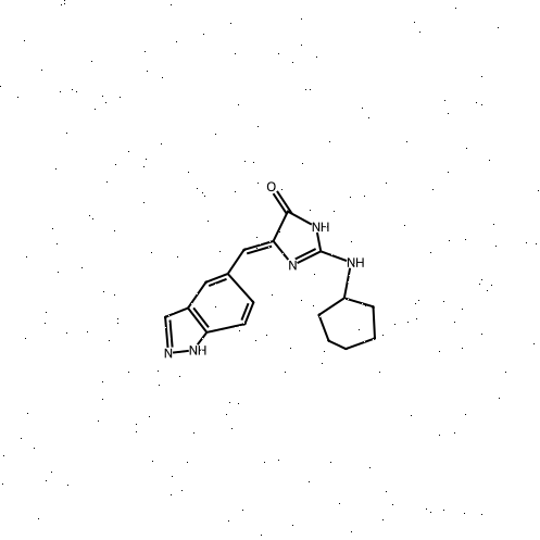 O=C1NC(NC2CCCCC2)=N/C1=C\c1ccc2[nH]ncc2c1